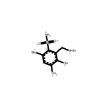 CC(=O)NCc1c(O)c(C)cc(C(C)(C)C)c1S(N)(=O)=O